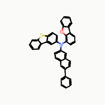 c1ccc(-c2ccc3cc(N(c4ccc5sc6ccccc6c5c4)c4cccc5c4oc4ccccc45)ccc3c2)cc1